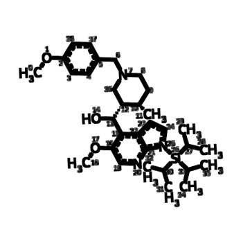 COc1ccc(CN2CC[C@H](C)[C@H](C(O)c3c(OC)cnc4c3ccn4[Si](C(C)C)(C(C)C)C(C)C)C2)cc1